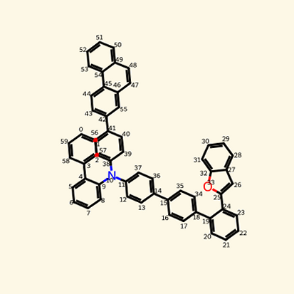 c1ccc(-c2ccccc2N(c2ccc(-c3ccc(-c4ccccc4-c4cc5ccccc5o4)cc3)cc2)c2ccc(-c3ccc4c(ccc5ccccc54)c3)cc2)cc1